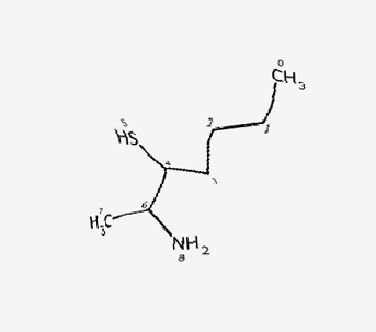 CCCCC(S)C(C)N